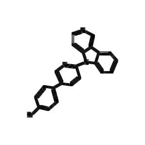 Brc1ccc(-c2ccc(-n3c4ccccc4c4cnccc43)nc2)cc1